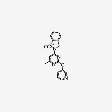 Cc1cc(N2Cc3ccccc3[S+]2[O-])nc(Oc2cccnc2)n1